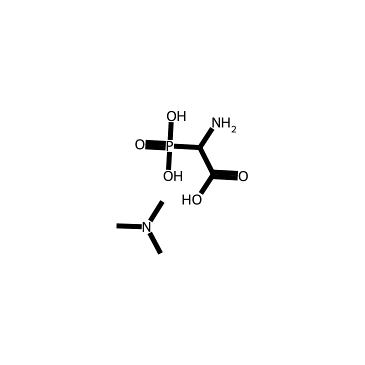 CN(C)C.NC(C(=O)O)P(=O)(O)O